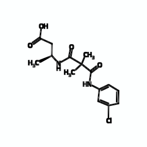 C[C@@H](CC(=O)O)NC(=O)C(C)(C)C(=O)Nc1cccc(Cl)c1